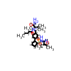 CCCCC(=O)[N+](C)(Cc1ccc(-c2ccccc2S(=O)(=O)Nc2noc(C)c2C)cc1)[C@H](C(N)=O)C(C)C